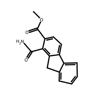 COC(=O)c1ccc2c(c1C(N)=O)Cc1ccccc1-2